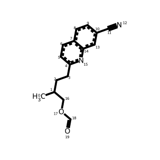 CC(CCc1ccc2ccc(C#N)cc2n1)COC=O